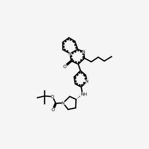 CCCCc1nc2ccccn2c(=O)c1-c1ccc(N[C@@H]2CCN(C(=O)OC(C)(C)C)C2)nc1